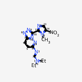 CCN(C=Nc1ccc2nnc(-c3ncc([N+](=O)[O-])n3C)n2n1)CC